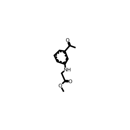 COC(=O)CNc1cccc(C(C)=O)c1